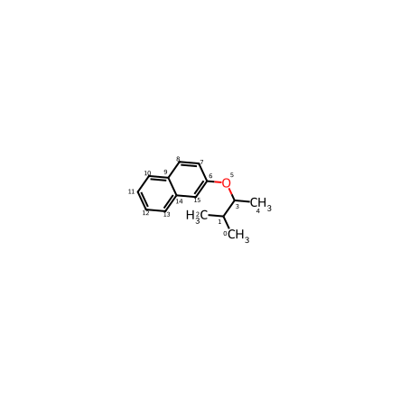 CC(C)C(C)Oc1ccc2ccccc2c1